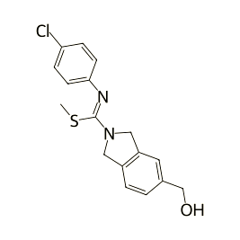 CSC(=Nc1ccc(Cl)cc1)N1Cc2ccc(CO)cc2C1